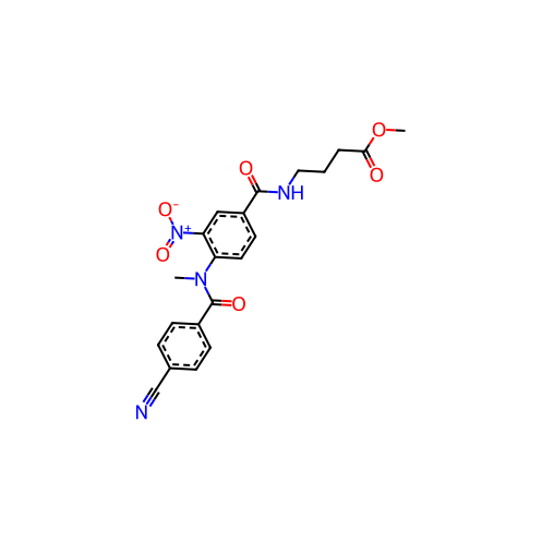 COC(=O)CCCNC(=O)c1ccc(N(C)C(=O)c2ccc(C#N)cc2)c([N+](=O)[O-])c1